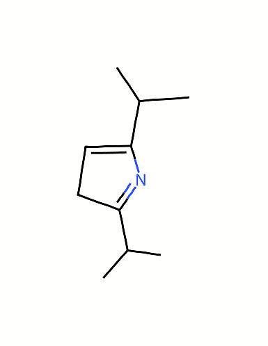 CC(C)C1=CCC(C(C)C)=N1